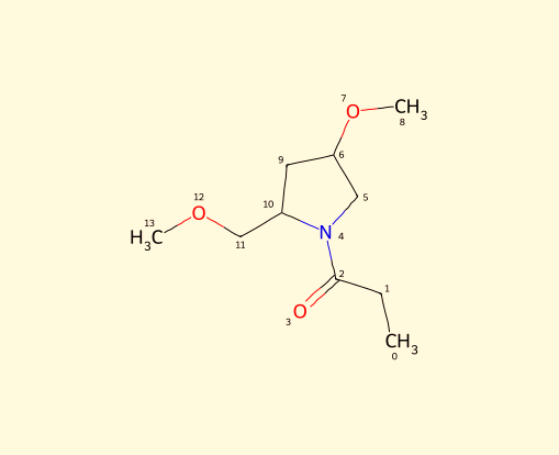 CCC(=O)N1CC(OC)CC1COC